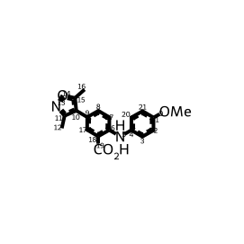 COc1ccc(Nc2ccc(-c3c(C)noc3C)cc2C(=O)O)cc1